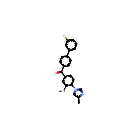 COc1cc(C(=O)c2ccc(-c3cccc(F)c3)cc2)ccc1-n1cnc(C)c1